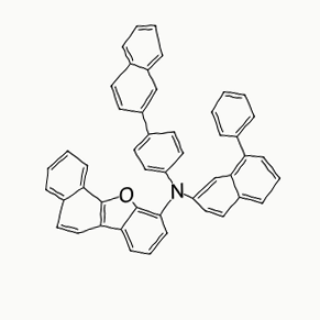 c1ccc(-c2cccc3ccc(N(c4ccc(-c5ccc6ccccc6c5)cc4)c4cccc5c4oc4c6ccccc6ccc54)cc23)cc1